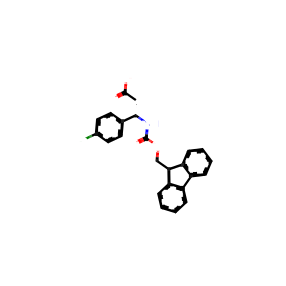 O=C(O)C[C@H](NC(=O)OCC1c2ccccc2-c2ccccc21)c1ccc(Br)cc1